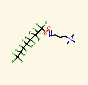 C[N+](C)(C)CCCNS(=O)(=O)C(F)(F)C(F)(F)C(F)(F)C(F)(F)C(F)(F)C(F)(F)C(F)(F)C(F)(F)F